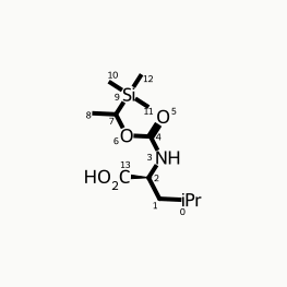 CC(C)C[C@H](NC(=O)OC(C)[Si](C)(C)C)C(=O)O